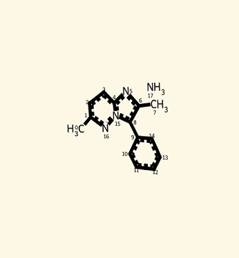 Cc1ccc2nc(C)c(-c3ccccc3)n2n1.N